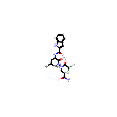 CC(C)CC(NC(=O)c1cc2ccccc2[nH]1)C(=O)NN(CCC(N)=O)C(=O)[C@@H](F)Cl